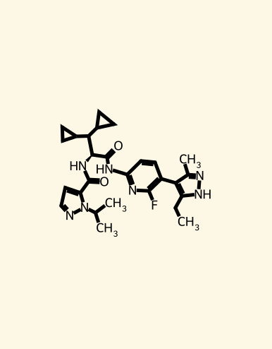 CCc1[nH]nc(C)c1-c1ccc(NC(=O)[C@@H](NC(=O)c2ccnn2C(C)C)C(C2CC2)C2CC2)nc1F